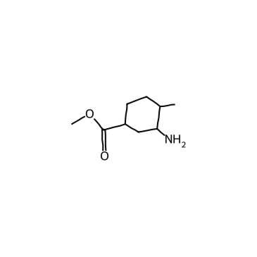 COC(=O)C1CCC(C)C(N)C1